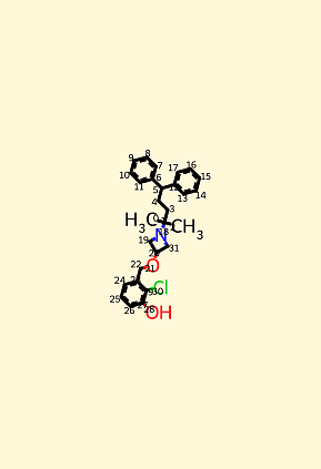 CC(C)(CCC(c1ccccc1)c1ccccc1)N1CC(OCc2cccc(O)c2Cl)C1